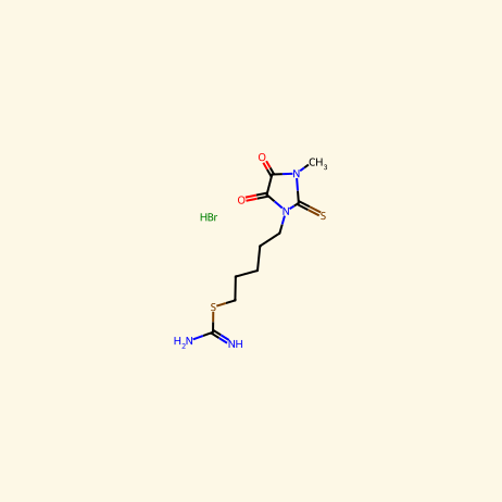 Br.CN1C(=O)C(=O)N(CCCCCSC(=N)N)C1=S